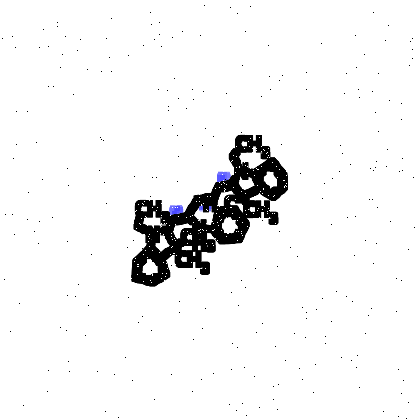 CCN1/C(=C/C=C/C(=C/C2=[N+](CC)c3ccccc3C2(C)C)Nc2ccccc2)C(C)(C)c2ccccc21